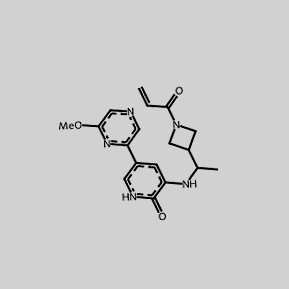 C=CC(=O)N1CC(C(C)Nc2cc(-c3cncc(OC)n3)c[nH]c2=O)C1